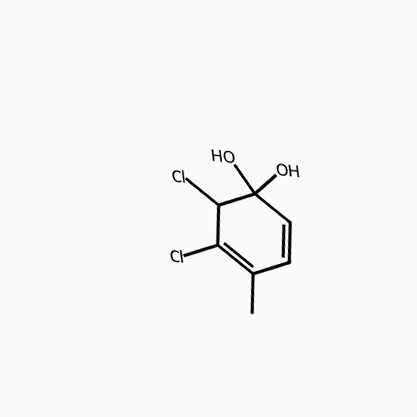 CC1=C(Cl)C(Cl)C(O)(O)C=C1